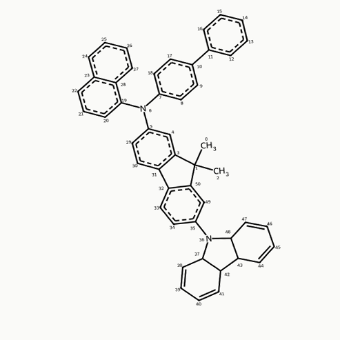 CC1(C)c2cc(N(c3ccc(-c4ccccc4)cc3)c3cccc4ccccc34)ccc2-c2ccc(N3C4C=CC=CC4C4C=CC=CC43)cc21